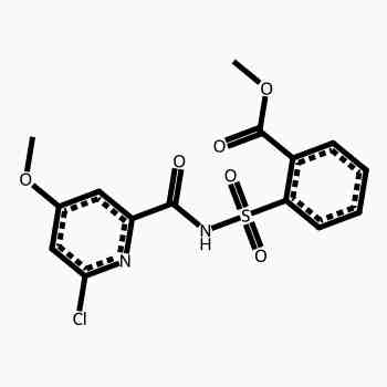 COC(=O)c1ccccc1S(=O)(=O)NC(=O)c1cc(OC)cc(Cl)n1